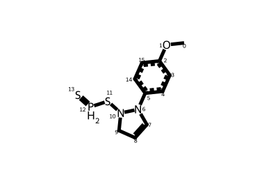 COc1ccc(N2C=CCN2S[PH2]=S)cc1